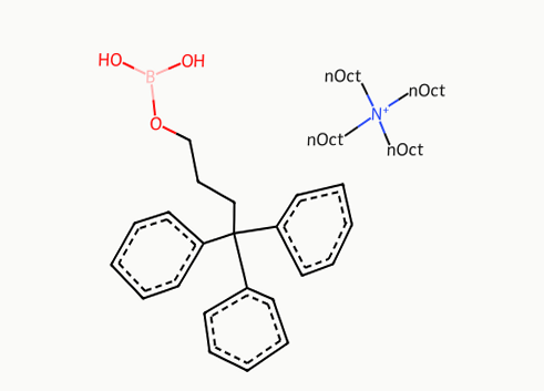 CCCCCCCC[N+](CCCCCCCC)(CCCCCCCC)CCCCCCCC.OB(O)OCCCC(c1ccccc1)(c1ccccc1)c1ccccc1